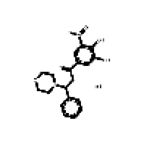 Cl.O=C(CC(c1ccccc1)N1CCOCC1)c1cc(O)c(O)c([N+](=O)[O-])c1